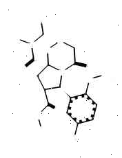 CCN(C)C(=O)[C@@]12C[C@](C)(C(=O)OC)[C@H](c3cc(Br)ccc3OC)N1C(=O)CSS2